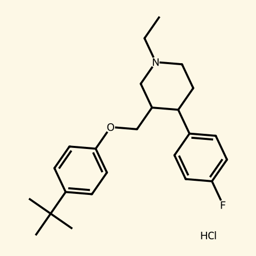 CCN1CCC(c2ccc(F)cc2)C(COc2ccc(C(C)(C)C)cc2)C1.Cl